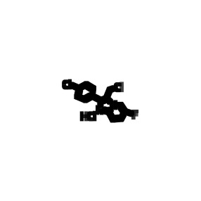 Cl.Fc1ccc2nc(-c3ccc(Cl)cc3)c(CCl)n2c1